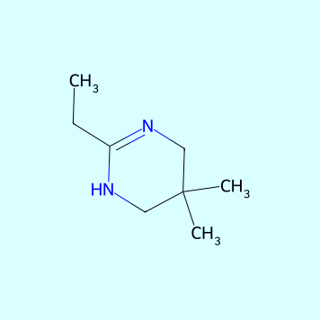 CCC1=NCC(C)(C)CN1